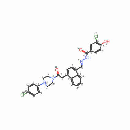 O=C(N/N=C/c1ccc(CC(=O)N2CCN(c3ccc(Cl)cc3)CC2)c2ccccc12)c1ccc(O)c(Cl)c1